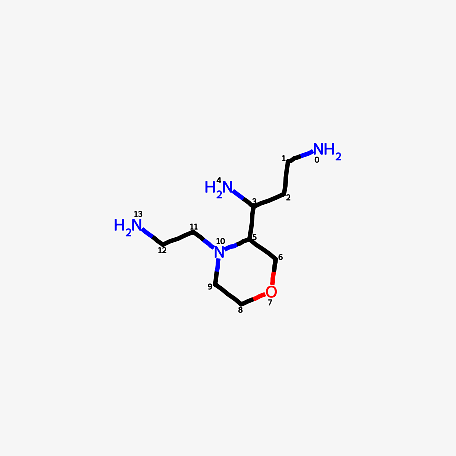 NCCC(N)C1COCCN1CCN